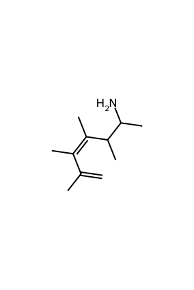 C=C(C)/C(C)=C(/C)C(C)C(C)N